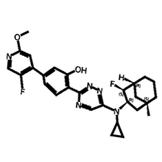 COc1cc(-c2ccc(-c3ncc(N(C4CC4)[C@@H]4C[C@@]5(C)CCC[C@H](C5)[C@@H]4F)nn3)c(O)c2)c(F)cn1